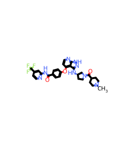 CN1CCC(C(=O)N2CC[C@@H](Nc3n[nH]c4nccc(Oc5ccc(C(=O)Nc6cc(C(F)(F)F)ccn6)cc5)c34)C2)CC1